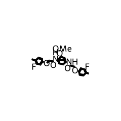 COCOC1CC2(NC(=O)COc3ccc(C)c(F)c3)CCC1(NC(=O)COc1ccc(C)c(F)c1)CC2